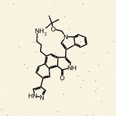 CC(C)(C)OCn1cc(-c2c[nH]c(=O)c3c2cc(CCCN)c2ccc(-c4cn[nH]c4)cc23)c2ccccc21